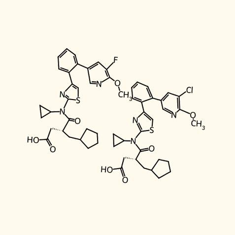 COc1ncc(-c2ccccc2-c2csc(N(C(=O)[C@@H](CC(=O)O)CC3CCCC3)C3CC3)n2)cc1Cl.COc1ncc(-c2ccccc2-c2csc(N(C(=O)[C@@H](CC(=O)O)CC3CCCC3)C3CC3)n2)cc1F